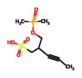 CC#CC(COP(C)(C)=O)CS(=O)(=O)O